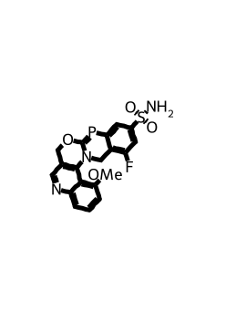 COc1cccc2ncc3c(c12)N1Cc2c(F)cc(S(N)(=O)=O)cc2P=C1OC3